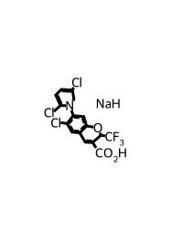 O=C(O)C1=Cc2cc(Cl)c(N3CC(Cl)=CC=C3Cl)cc2OC1C(F)(F)F.[NaH]